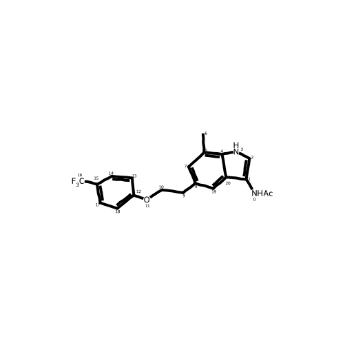 CC(=O)Nc1c[nH]c2c(C)cc(CCOc3ccc(C(F)(F)F)cc3)cc12